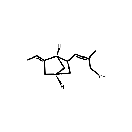 CC=C1C[C@H]2CC(C=C(C)CO)[C@@H]1C2